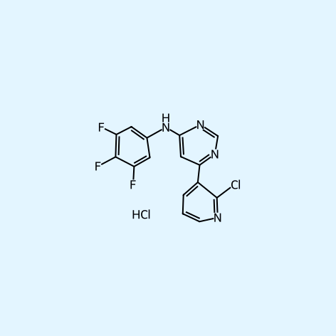 Cl.Fc1cc(Nc2cc(-c3cccnc3Cl)ncn2)cc(F)c1F